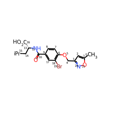 Cc1cc(COc2ccc(C(=O)N[C@H](CC(C)C)C(=O)O)cc2Br)no1